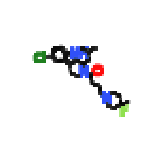 CC(C)CC1c2[nH]c3ccc(Cl)cc3c2CCN1C(=O)CCCN1CCC(C)(F)CC1